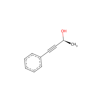 C[C@H](O)C#Cc1ccccc1